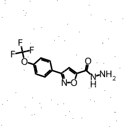 NNC(=O)c1cc(-c2ccc(OC(F)(F)F)cc2)no1